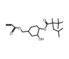 C=CC(=O)OCC1CCC(OC(=O)C(C)(CC(C)C)C(C)(C)C)C(O)C1